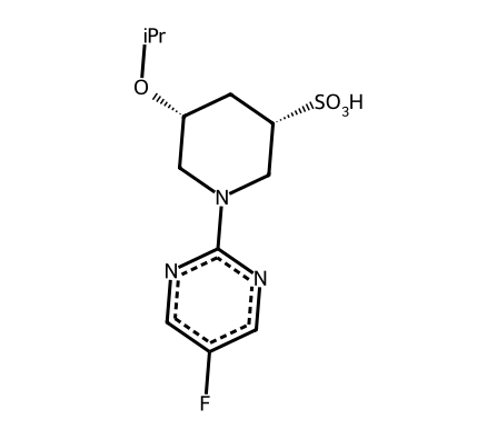 CC(C)O[C@@H]1C[C@H](S(=O)(=O)O)CN(c2ncc(F)cn2)C1